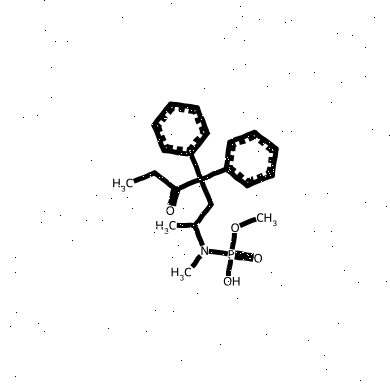 CCC(=O)C(CC(C)N(C)P(=O)(O)OC)(c1ccccc1)c1ccccc1